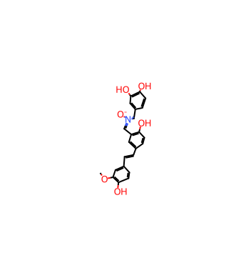 COc1cc(/C=C/c2ccc(O)c(/C=[N+](/[O-])Cc3ccc(O)c(O)c3)c2)ccc1O